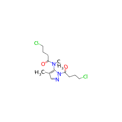 Cc1cnn(C(=O)CCCCl)c1N(C)C(=O)CCCCl